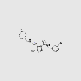 C=C(NCc1cccc(C#N)c1)n1ncc(CC)c1/N=C/NCC1CCNCC1